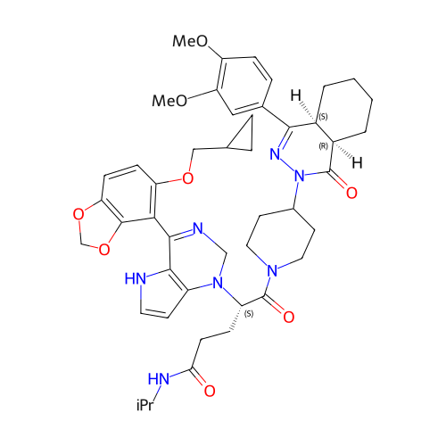 COc1ccc(C2=NN(C3CCN(C(=O)[C@H](CCC(=O)NC(C)C)N4CN=C(c5c(OCC6CC6)ccc6c5OCO6)c5[nH]ccc54)CC3)C(=O)[C@@H]3CCCC[C@H]23)cc1OC